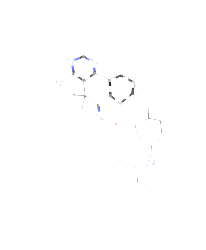 CB(O)NC1CCC(Oc2ccc3c(c2)/C(=N\O)C(C)(C)c2c(N)ncnc2-3)CC1